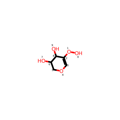 OOC1=COCC(O)C1O